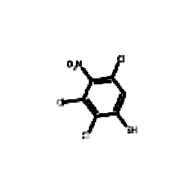 O=[N+]([O-])c1c(Cl)cc(S)c(Cl)c1Cl